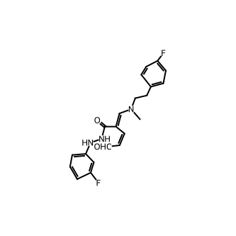 CN(/C=C(\C=C/C=O)C(=O)NNc1cccc(F)c1)CCc1ccc(F)cc1